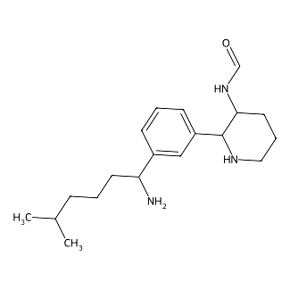 CC(C)CCCC(N)c1cccc(C2NCCCC2NC=O)c1